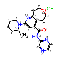 C[C@H]1CCCCN1c1cc(C(=O)Nc2cnccn2)c2c(n1)CCOCC2.Cl